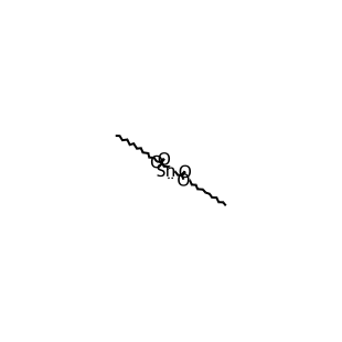 CCCCCCCCCCCCOC(=O)C[CH2][Sn][CH2]CC(=O)OCCCCCCCCCCCC